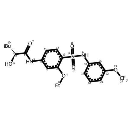 CCOc1cc(NC(=O)[C@@H](O)[C@@H](C)CC)ccc1S(=O)(=O)Nc1cccc(OC(F)(F)F)c1